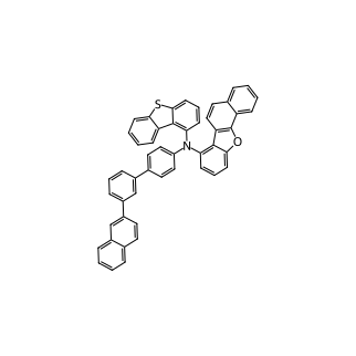 c1cc(-c2ccc(N(c3cccc4oc5c6ccccc6ccc5c34)c3cccc4sc5ccccc5c34)cc2)cc(-c2ccc3ccccc3c2)c1